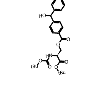 CC(C)(C)OC(=O)N[C@@H](COC(=O)c1ccc(C(O)c2ccccc2)cc1)C(=O)OC(C)(C)C